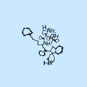 CC(C)(N)C(=O)N[C@H](CCCc1ccccc1)C(=O)C1[C@H](CC(=O)O)c2ccccc2C12CCNCC2